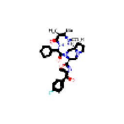 C[C@H](C(=O)N[C@H](C(=O)N1C[C@H]2CCCN2C[C@H]1c1nc(C(=O)c2ccc(F)cc2)co1)C1CCCCC1)C(NC(=O)O)C(C)(C)C